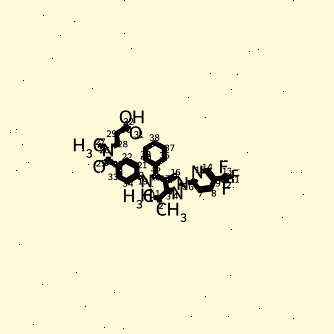 CC(C)c1nn(-c2ccc(C(F)(F)F)cn2)cc1C(Nc1ccc(C(=O)N(C)CCC(=O)O)cc1)C1CCCCC1